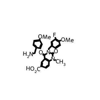 COc1ccc(CN)cc1.COc1ccc(Cn2c(=O)c3cc(C(=O)O)ccc3n(C)c2=O)cc1F